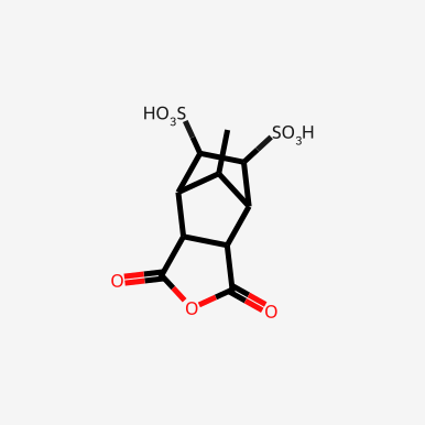 CC1C2C3C(=O)OC(=O)C3C1C(S(=O)(=O)O)C2S(=O)(=O)O